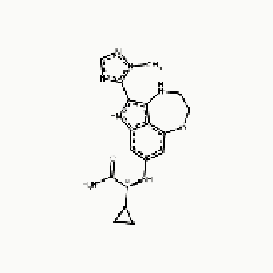 Cn1ncnc1-c1[nH]c2cc(N[C@H](C(N)=O)C3CC3)cc3c2c1NCCO3